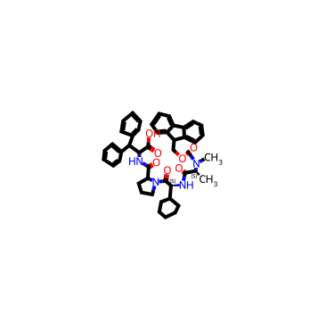 C[C@@H](C(=O)N[C@H](C(=O)N1CCCC1C(=O)NC(C(=O)O)C(c1ccccc1)c1ccccc1)C1CCCCC1)N(C)C(=O)OCC1c2ccccc2-c2ccccc21